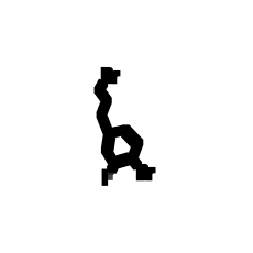 Fc1cc(CCCBr)ccc1Br